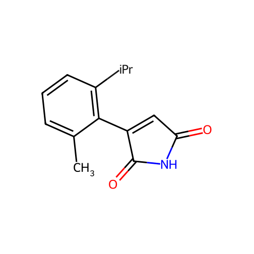 Cc1cccc(C(C)C)c1C1=CC(=O)NC1=O